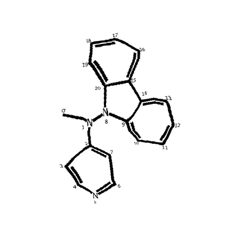 CN(c1ccncc1)n1c2ccccc2c2ccccc21